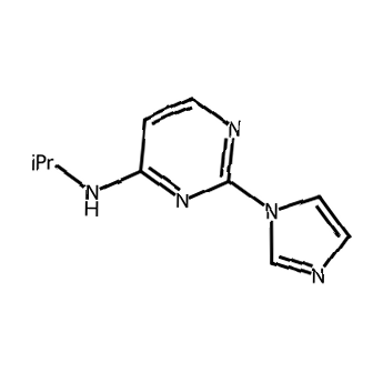 CC(C)Nc1ccnc(-n2ccnc2)n1